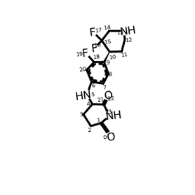 O=C1CCC(Nc2ccc([C@@H]3CCNCC3(F)F)c(F)c2)C(=O)N1